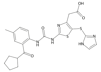 Cc1ccc(NC(=O)Nc2nc(CC(=O)O)c(Sc3ncc[nH]3)s2)c(C(=O)C2CCCC2)c1